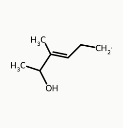 [CH2]C/C=C(\C)C(C)O